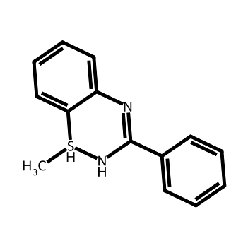 C[SH]1NC(c2ccccc2)=Nc2ccccc21